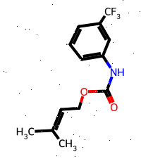 CC(C)=CCOC(=O)Nc1c[c]cc(C(F)(F)F)c1